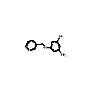 Nc1cc(N)cc(NCc2cccnc2)c1